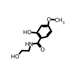 COc1ccc(C(=O)NCCO)c(O)c1